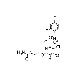 CC(C)(OCc1ccc(F)cc1F)c1nc(OCCNC(N)=O)[nH]c(=O)c1Cl